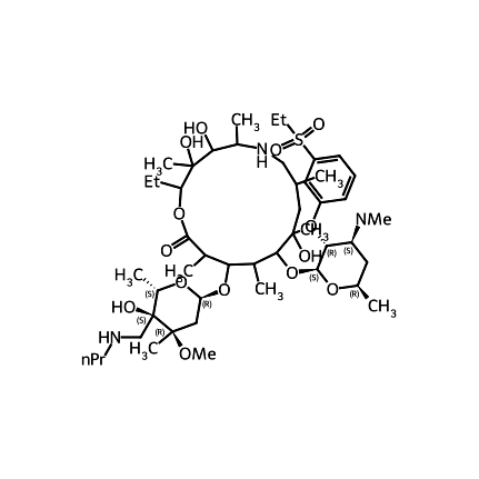 CCCNC[C@]1(O)[C@H](C)O[C@@H](OC2C(C)C(=O)OC(CC)C(C)(O)C(O)C(C)NCC(C)CC(C)(O)C(O[C@@H]3O[C@H](C)C[C@H](NC)[C@H]3Oc3cccc(S(=O)(=O)CC)c3)C2C)C[C@@]1(C)OC